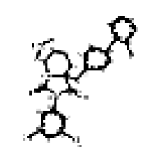 CNC.Cc1ccccc1-c1ccc(CC23CCCCN2C(=O)N(c2cc(Cl)cc(Cl)c2)C3=O)cc1